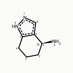 N[C@H]1CCCc2[nH]ncc21